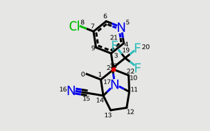 CC1C(c2cncc(Cl)c2)CC2CCC1(C#N)N2CC(F)(F)F